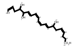 CC/C=C\CC(O)C(O)/C=C/C=C\C=C/C=C/C(O)C/C=C\CCC(=O)O